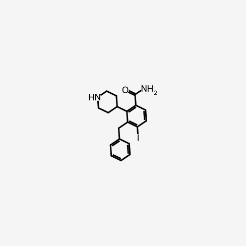 NC(=O)c1ccc(I)c(Cc2ccccc2)c1C1CCNCC1